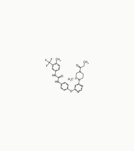 CCC(=O)N1CCN(c2cc(Oc3ccc(NC(=O)Nc4ccc(C)c(C(F)(F)F)c4)cc3)ncn2)[C@H](C)C1